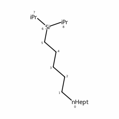 CCCCCCCCCCCC[Si](C(C)C)C(C)C